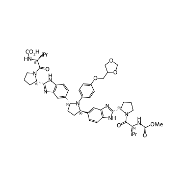 COC(=O)N[C@H](C(=O)N1CCC[C@H]1c1nc2cc([C@H]3CC[C@H](c4ccc5[nH]c([C@@H]6CCCN6C(=O)[C@@H](NC(=O)O)C(C)C)nc5c4)N3c3ccc(OCC4COCO4)cc3)ccc2[nH]1)C(C)C